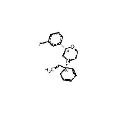 C=C[C@@]1(N2CCO[C@@H](c3cccc(F)c3)C2)C=CC=CC1